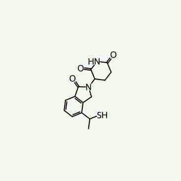 CC(S)c1cccc2c1CN(C1CCC(=O)NC1=O)C2=O